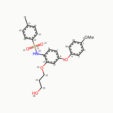 COc1ccc(Oc2ccc(NS(=O)(=O)c3ccc(C)cc3)c(OCCCO)c2)cc1